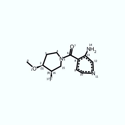 CO[C@H]1CCN(C(=O)c2ccncc2N)C[C@H]1F